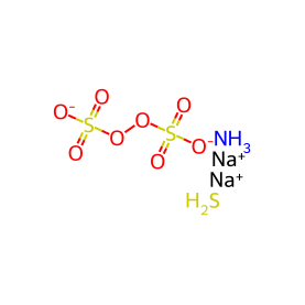 N.O=S(=O)([O-])OOS(=O)(=O)[O-].S.[Na+].[Na+]